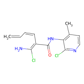 C=C/C=C\C(C(=O)Nc1c(C)ccnc1Cl)=C(/N)Cl